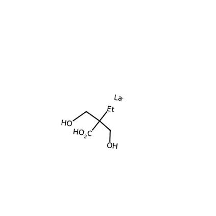 CCC(CO)(CO)C(=O)O.[La]